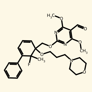 COc1nc(OCC2(OCCCN3CCOCC3)C=CC=C(c3ccccc3)C2(C)F)nc(OC)c1C=O